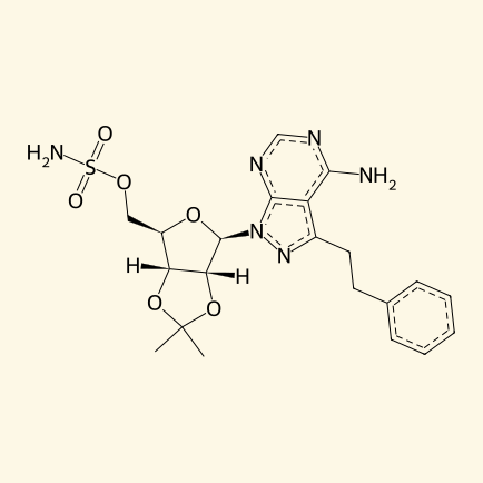 CC1(C)O[C@@H]2[C@H](O1)[C@@H](COS(N)(=O)=O)O[C@H]2n1nc(CCc2ccccc2)c2c(N)ncnc21